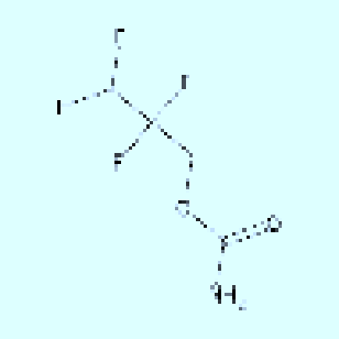 NC(=O)OCC(F)(F)C(F)F